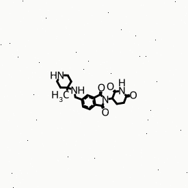 CC1(NCc2ccc3c(c2)C(=O)N(C2CCC(=O)NC2=O)C3=O)CCNCC1